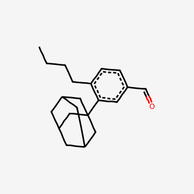 CCCCc1ccc(C=O)cc1C12CC3CC(CC(C3)C1)C2